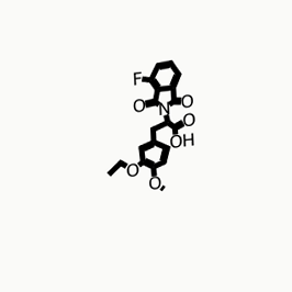 CCOc1cc(CC(C(=O)O)N2C(=O)c3cccc(F)c3C2=O)ccc1OC